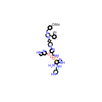 COc1ccc(CN2CCN(C3CC4(CCN(c5cc(Oc6cnc7[nH]ccc7c6)c(C(=O)N[SH](=O)(I)c6cc(N)c(NCC7(F)CCNCC7)c7[nH]cnc67)cn5)CC4)C3)C(c3ccccc3C(C)C)C2)cc1